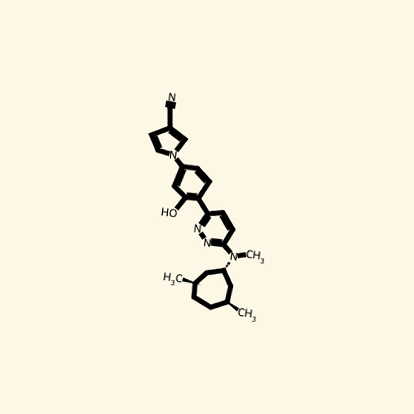 C[C@@H]1CC[C@H](C)C[C@@H](N(C)c2ccc(-c3ccc(-n4ccc(C#N)c4)cc3O)nn2)C1